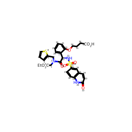 CCOC(=O)CN(Cc1cccs1)C(=O)[C@H](NS(=O)(=O)c1ccc2[nH]c(=O)ccc2c1)c1ccccc1OCCCC(=O)O